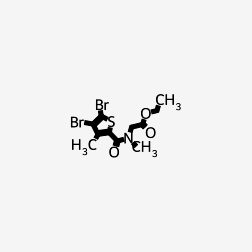 CCOC(=O)CN(C)C(=O)c1sc(Br)c(Br)c1C